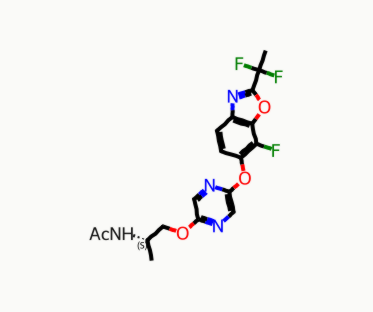 CC(=O)N[C@@H](C)COc1cnc(Oc2ccc3nc(C(C)(F)F)oc3c2F)cn1